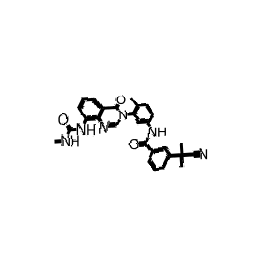 CNC(=O)Nc1cccc2c(=O)n(-c3cc(NC(=O)c4cccc(C(C)(C)C#N)c4)ccc3C)cnc12